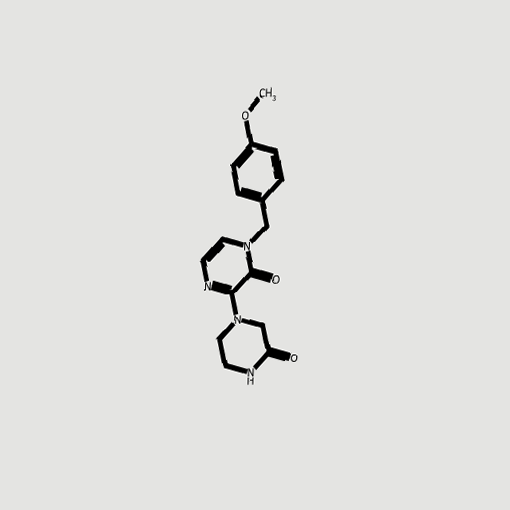 COc1ccc(Cn2ccnc(N3CCNC(=O)C3)c2=O)cc1